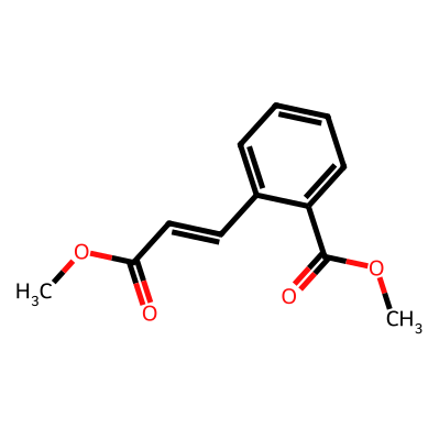 COC(=O)/C=C/c1ccccc1C(=O)OC